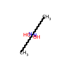 CCCCCCCCCCCCCC(=NO)C(CCCCCCCCCCCCC)=NO